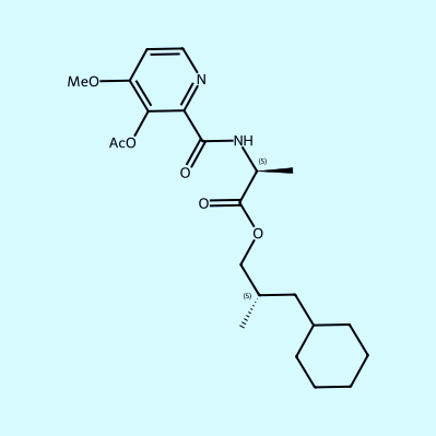 COc1ccnc(C(=O)N[C@@H](C)C(=O)OC[C@@H](C)CC2CCCCC2)c1OC(C)=O